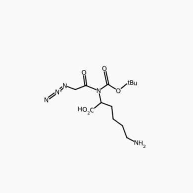 CC(C)(C)OC(=O)N(C(=O)CN=[N+]=[N-])C(CCCCN)C(=O)O